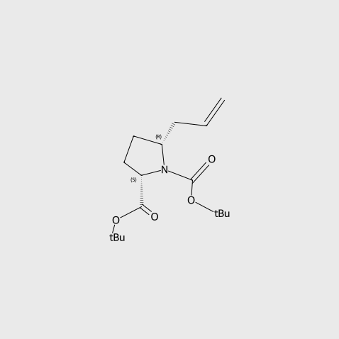 C=CC[C@H]1CC[C@@H](C(=O)OC(C)(C)C)N1C(=O)OC(C)(C)C